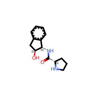 O=C(N[C@H]1c2ccccc2C[C@@H]1O)[C@@H]1CCCN1